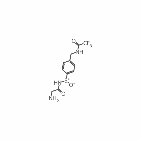 NCC(=O)N[S+]([O-])c1ccc(CNC(=O)C(F)(F)F)cc1